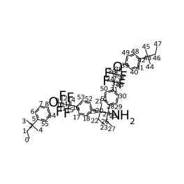 CCC(C)(C)c1ccc(OC(F)(F)C(F)(F)c2ccc(C(C)(CC)C(N)(CC)c3ccc(C(F)(F)C(F)(F)Oc4ccc(C(C)(C)CC)cc4)cc3)cc2)cc1